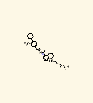 C/C(=N\OCc1ccc(C2CCCCC2)c(C(F)(F)F)c1)c1cccc2c1CCCC2NCCCC(=O)O